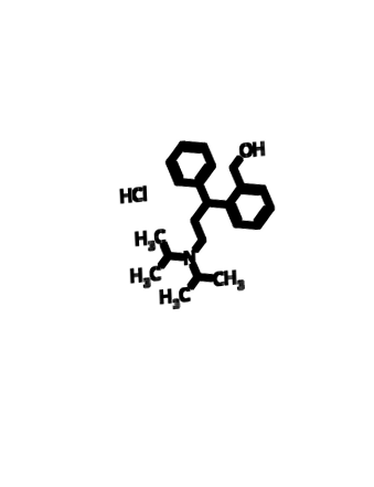 CC(C)N(CCC(c1ccccc1)c1ccccc1CO)C(C)C.Cl